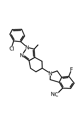 Cc1c2c(nn1-c1ccccc1Cl)CCC(N1Cc3c(F)ccc(C#N)c3C1)C2